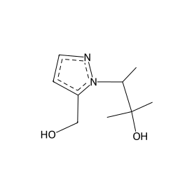 CC(n1nccc1CO)C(C)(C)O